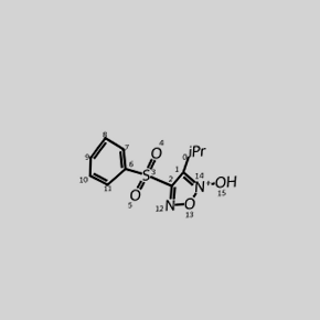 CC(C)c1c(S(=O)(=O)c2ccccc2)no[n+]1O